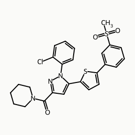 CS(=O)(=O)c1cccc(-c2ccc(-c3cc(C(=O)N4CCCCC4)nn3-c3ccccc3Cl)s2)c1